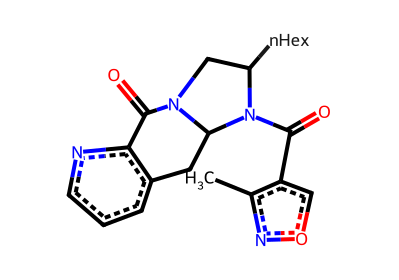 CCCCCCC1CN2C(=O)c3ncccc3CC2N1C(=O)c1conc1C